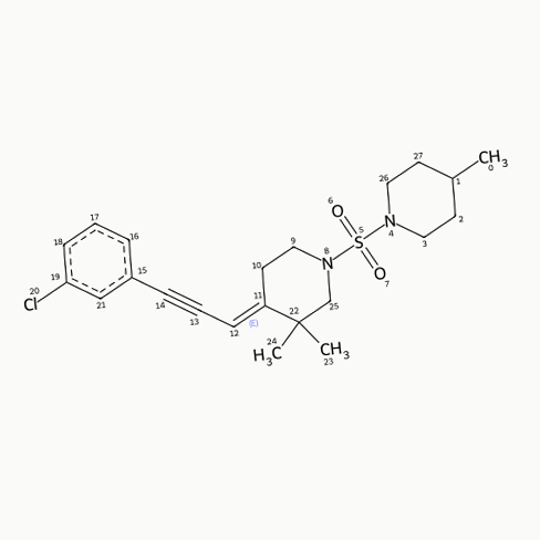 CC1CCN(S(=O)(=O)N2CC/C(=C\C#Cc3cccc(Cl)c3)C(C)(C)C2)CC1